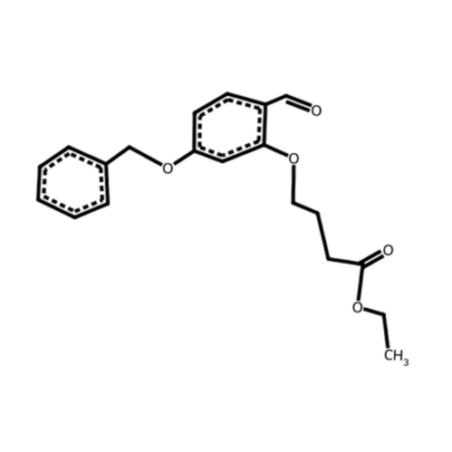 CCOC(=O)CCCOc1cc(OCc2ccccc2)ccc1C=O